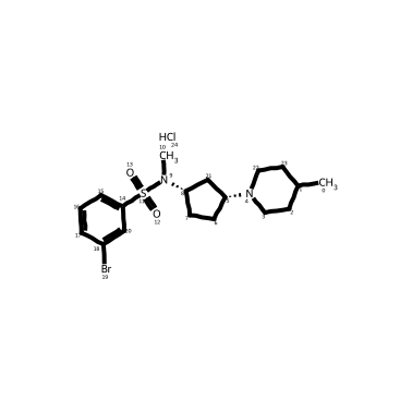 CC1CCN([C@@H]2CC[C@H](N(C)S(=O)(=O)c3cccc(Br)c3)C2)CC1.Cl